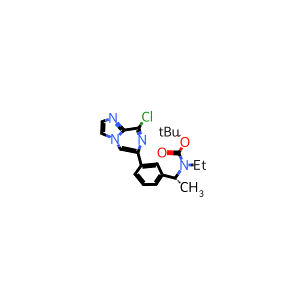 CCN(C(=O)OC(C)(C)C)[C@H](C)c1cccc(-c2cn3ccnc3c(Cl)n2)c1